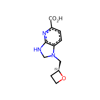 O=C(O)c1ccc2c(n1)NCN2C[C@@H]1CCO1